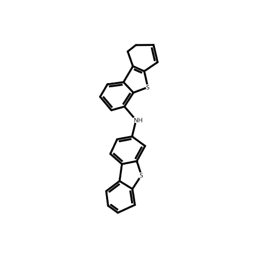 C1=Cc2sc3c(Nc4ccc5c(c4)sc4ccccc45)cccc3c2CC1